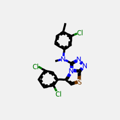 Cc1ccc(N(C)c2nnc3scc(-c4cc(Cl)ccc4Cl)n23)cc1Cl